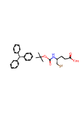 CC(C)(C)OC(=O)NC(CS)CCC(=O)O.c1ccc(C(c2ccccc2)c2ccccc2)cc1